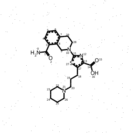 NC(=O)c1cccc2c1CN(c1nc(C(=O)O)c(CCCN3CCCCC3)s1)CC2